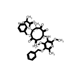 COc1nc(C)c(OCc2ccccc2)c(OC)c1N[C@H]1CC(=O)C(=O)[C@H](Cc2ccccc2)[C@H](OC(=O)C(C)C)[C@H](C)C(=O)C1=O